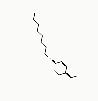 C\C=C(/C=C\C=B\CCCCCCCC)CC